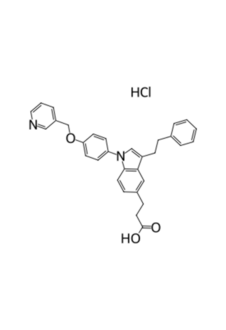 Cl.O=C(O)CCc1ccc2c(c1)c(CCc1ccccc1)cn2-c1ccc(OCc2cccnc2)cc1